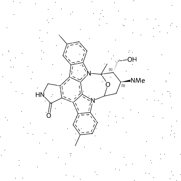 CN[C@H]1CC2OC(C)([C@@H]1CO)n1c3ccc(C)cc3c3c4c(c5c6cc(C)ccc6n2c5c31)C(=O)NC4